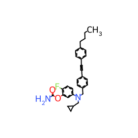 CCCCc1ccc(C#Cc2ccc(CN(CC3CC3)c3ccc(F)c(OC(N)=O)c3)cc2)cc1